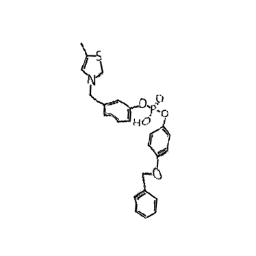 CC1=CN(Cc2cccc(OP(=O)(O)Oc3ccc(OCc4ccccc4)cc3)c2)CS1